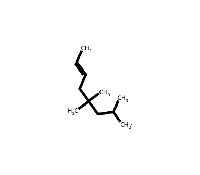 [CH2]C(C)CC(C)(C)CC=CC